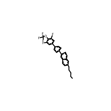 CCCCCc1ccc2cc(-c3ccc(-c4cc(F)c(OC(F)(F)F)c(F)c4)cc3)ccc2c1